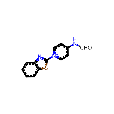 O=CNc1cc[n+](-c2nc3ccccc3s2)cc1